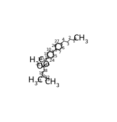 CCCCCc1ccc(-c2ccc(C(C)OC(=O)CCC(C)CC)cc2)cc1